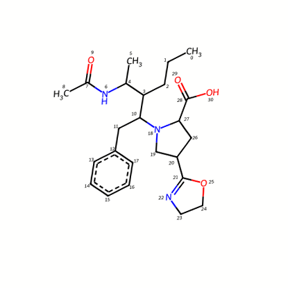 CCCC(C(C)NC(C)=O)C(Cc1ccccc1)N1CC(C2=NCCO2)CC1C(=O)O